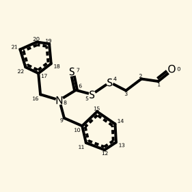 O=CCCSSC(=S)N(Cc1ccccc1)Cc1ccccc1